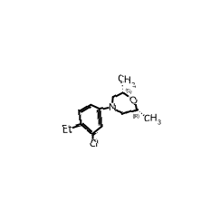 CCc1ccc(N2C[C@@H](C)O[C@@H](C)C2)cc1Cl